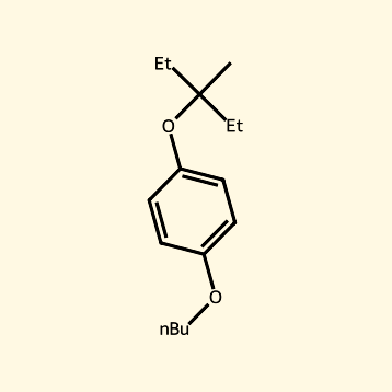 CCCCOc1ccc(OC(C)(CC)CC)cc1